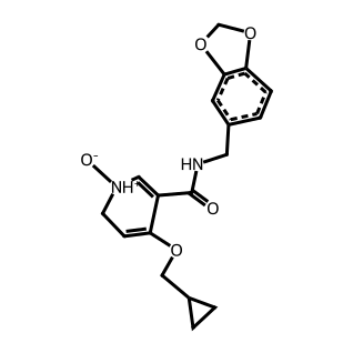 O=C(NCc1ccc2c(c1)OCO2)C1=C[NH+]([O-])CC=C1OCC1CC1